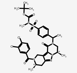 CC(c1ccc(S(=O)(=O)N(C)C(=O)OC(C)(C)C)cc1)N1C[C@@H](C)n2nc3c(c2C1=O)CN(C(=O)c1ccc(Cl)c(Cl)c1)[C@H](C)C3